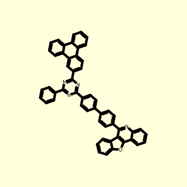 c1ccc(-c2nc(-c3ccc(-c4ccc(-c5nc6ccccc6c6oc7ccccc7c56)cc4)cc3)nc(-c3ccc4c5ccccc5c5ccccc5c4c3)n2)cc1